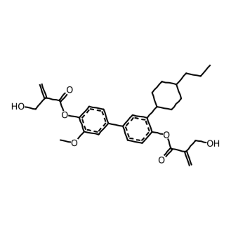 C=C(CO)C(=O)Oc1ccc(-c2ccc(OC(=O)C(=C)CO)c(C3CCC(CCC)CC3)c2)cc1OC